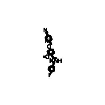 COc1cc(OCc2ccc(C#N)cn2)ccc1-c1c[nH]c(-c2ccc(F)cc2)n1